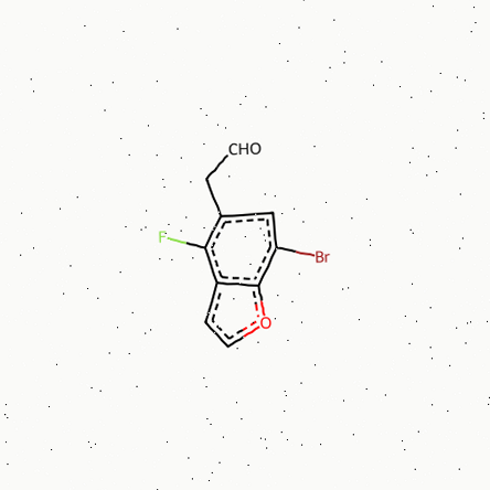 O=CCc1cc(Br)c2occc2c1F